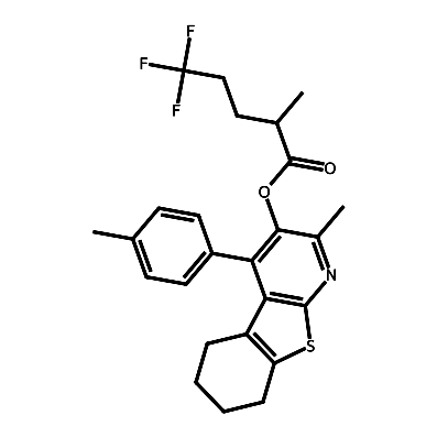 Cc1ccc(-c2c(OC(=O)C(C)CCC(F)(F)F)c(C)nc3sc4c(c23)CCCC4)cc1